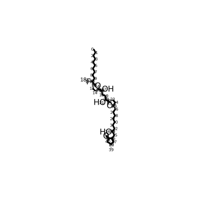 CCCCCCCCCC[C@H]([18F])[C@H]1CC[C@H]([C@H](O)CC[C@H](O)[C@@H]2CC[C@@H](CCCCCCC[C@@H](O)CC3=C[C@H](C)CC3=O)O2)O1